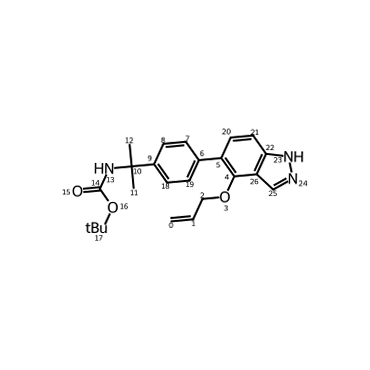 C=CCOc1c(-c2ccc(C(C)(C)NC(=O)OC(C)(C)C)cc2)ccc2[nH]ncc12